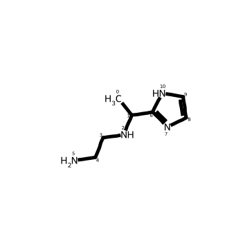 CC(NCCN)c1ncc[nH]1